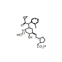 Cl.Cl.O=C(O)C[C@@H]1CCCN1CC=C1CN(C(C(=O)C2CC2)c2ccccc2F)CCC1S